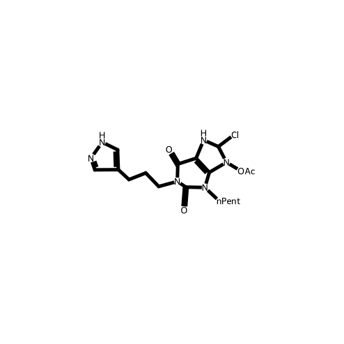 CCCCCn1c2c(c(=O)n(CCCc3cn[nH]c3)c1=O)NC(Cl)N2OC(C)=O